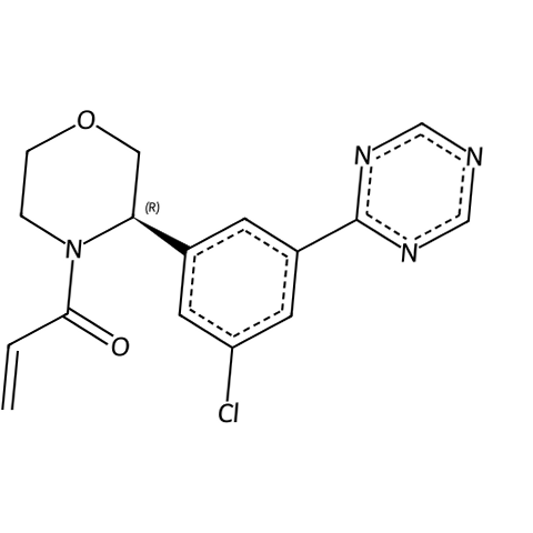 C=CC(=O)N1CCOC[C@H]1c1cc(Cl)cc(-c2ncncn2)c1